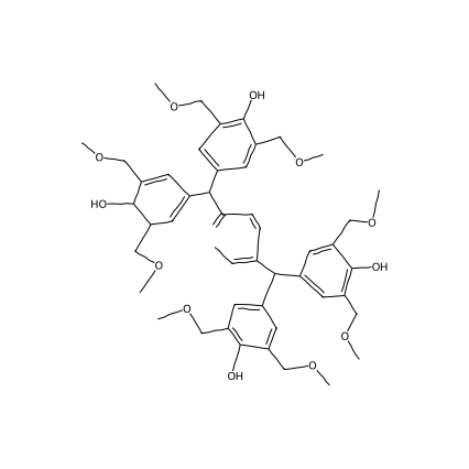 C=C(/C=C\C(=C/C)C(c1cc(COC)c(O)c(COC)c1)c1cc(COC)c(O)c(COC)c1)C(C1=CC(COC)C(O)C(COC)=C1)c1cc(COC)c(O)c(COC)c1